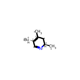 CC[C@@H](C)C1=C(C)C[C@@H](C)N=C1